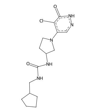 O=C(NCC1CCCC1)NC1CCN(c2cn[nH]c(=O)c2Cl)C1